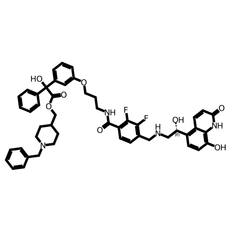 O=C(NCCCOc1cccc(C(O)(C(=O)OCC2CCN(Cc3ccccc3)CC2)c2ccccc2)c1)c1ccc(CNC[C@H](O)c2ccc(O)c3[nH]c(=O)ccc23)c(F)c1F